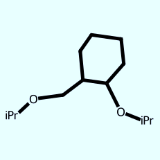 CC(C)OCC1CCCCC1OC(C)C